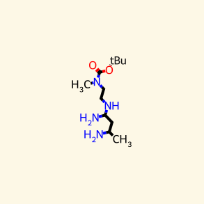 CC(N)CC(N)NCCN(C)C(=O)OC(C)(C)C